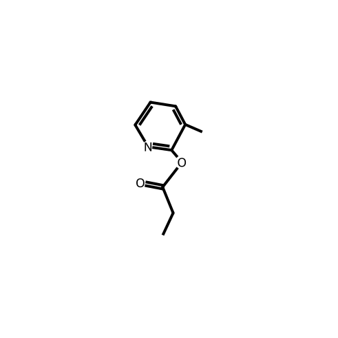 CCC(=O)Oc1ncccc1C